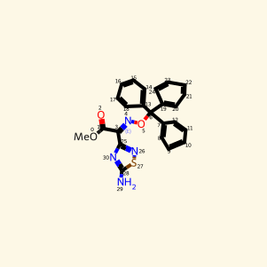 COC(=O)/C(=N/OC(c1ccccc1)(c1ccccc1)c1ccccc1)c1nsc(N)n1